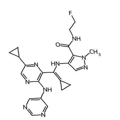 Cn1ncc(NC(=C2CC2)c2nc(C3CC3)cnc2Nc2cncnc2)c1C(=O)NCCF